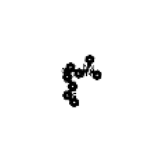 c1ccc(-c2nc(-c3ccccc3)nc(-c3cccc(-c4cccc5oc6ccc(-c7cccc(-c8cccc9c8sc8ccccc89)c7)cc6c45)c3)n2)cc1